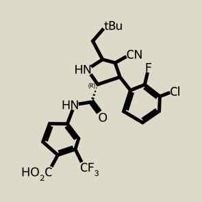 CC(C)(C)CC1N[C@@H](C(=O)Nc2ccc(C(=O)O)c(C(F)(F)F)c2)C(c2cccc(Cl)c2F)C1C#N